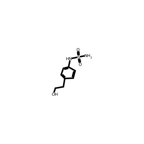 NS(=O)(=O)Nc1ccc(CCO)cc1